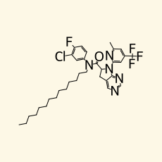 CCCCCCCCCCCCCCN(C(=O)C1Cc2cncnc2N1c1cc(C(F)(F)F)cc(C)n1)c1ccc(F)c(Cl)c1